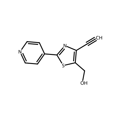 C#Cc1nc(-c2ccncc2)sc1CO